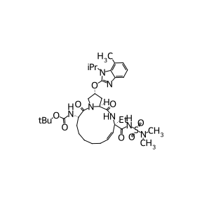 CC[C@]1(C(=O)NS(=O)(=O)N(C)C)/C=C\CCCCC[C@H](NC(=O)OC(C)(C)C)C(=O)N2C[C@H](Oc3nc4cccc(C)c4n3C(C)C)C[C@H]2C(=O)N1